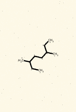 [CH2]C(CC)CCC(C)CC